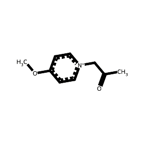 COc1cc[n+](CC(C)=O)cc1